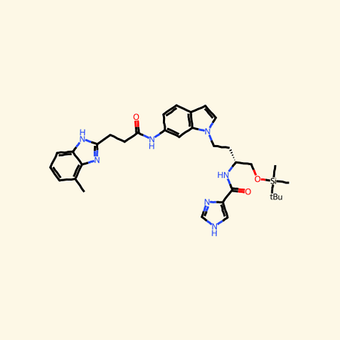 Cc1cccc2[nH]c(CCC(=O)Nc3ccc4ccn(CC[C@H](CO[Si](C)(C)C(C)(C)C)NC(=O)c5c[nH]cn5)c4c3)nc12